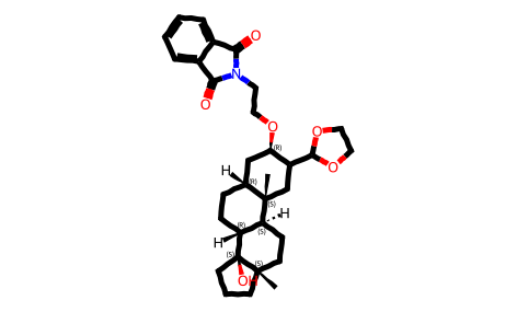 C[C@]12CC(C3OCCO3)[C@H](OCCN3C(=O)c4ccccc4C3=O)C[C@H]1CC[C@@H]1[C@@H]2CC[C@]2(C)CCC[C@]12O